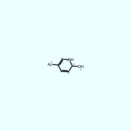 CC(=O)C1=CNC(O)C=C1